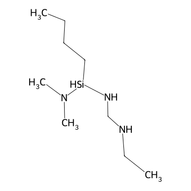 CCCC[SiH](NCNCC)N(C)C